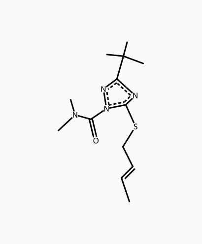 CC=CCSc1nc(C(C)(C)C)nn1C(=O)N(C)C